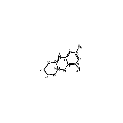 Fc1cc(I)c2c(c1)N=C1CCCCN1C2